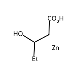 CCC(O)CC(=O)O.[Zn]